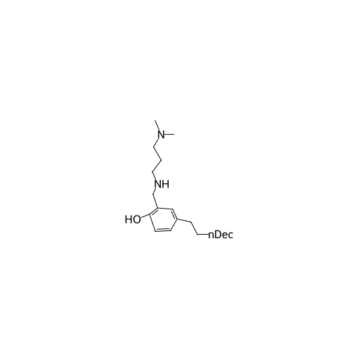 CCCCCCCCCCCCc1ccc(O)c(CNCCCN(C)C)c1